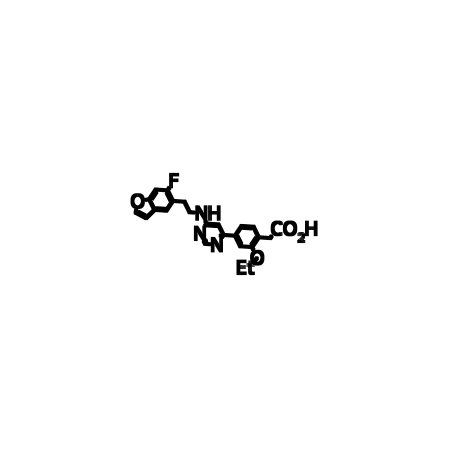 CCOc1cc(-c2cc(NCCc3cc4ccoc4cc3F)ncn2)ccc1CC(=O)O